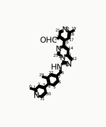 Cc1cc(-c2ccc(CNc3ncc4cc(-c5cc(C)ncc5C=O)ncn34)cc2C)ccn1